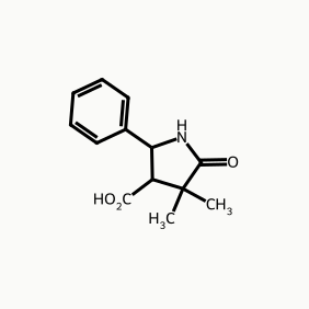 CC1(C)C(=O)NC(c2ccccc2)C1C(=O)O